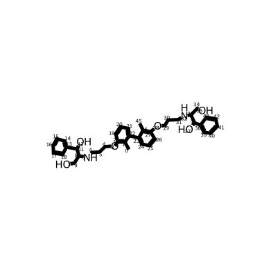 Cc1c(OCCCNC(CO)C(O)c2ccccc2)cccc1-c1cccc(OCCCNC(CO)C(O)c2ccccc2)c1C